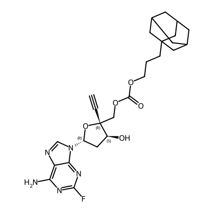 C#C[C@]1(COC(=O)OCCCC23CC4CC(CC(C4)C2)C3)O[C@@H](n2cnc3c(N)nc(F)nc32)C[C@@H]1O